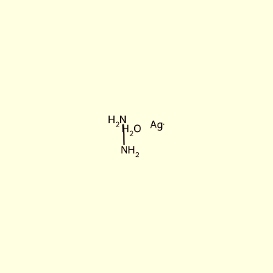 NN.O.[Ag]